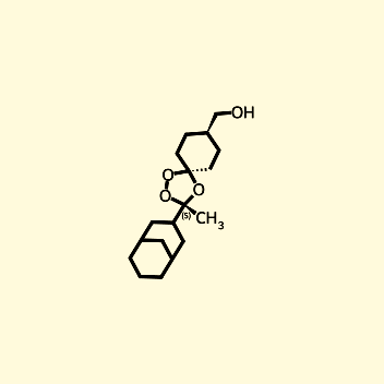 C[C@@]1(C2CC3CCCC(C3)C2)OO[C@]2(CC[C@H](CO)CC2)O1